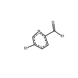 CCC(=O)c1ccc(CC)cn1